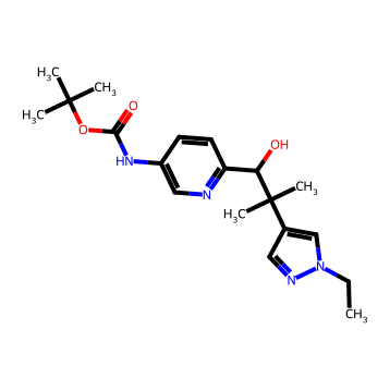 CCn1cc(C(C)(C)C(O)c2ccc(NC(=O)OC(C)(C)C)cn2)cn1